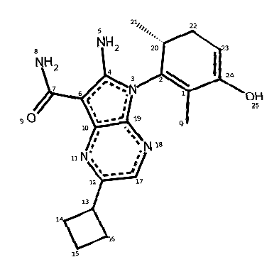 CC1=C(n2c(N)c(C(N)=O)c3nc(C4CCC4)cnc32)[C@H](C)CC=C1O